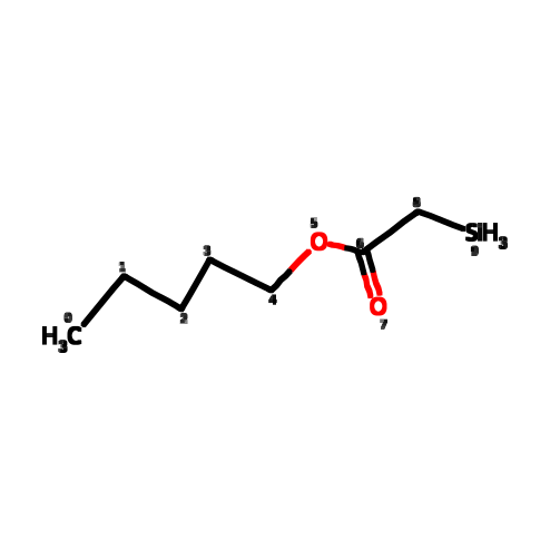 CCCCCOC(=O)C[SiH3]